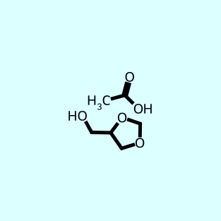 CC(=O)O.OCC1COCO1